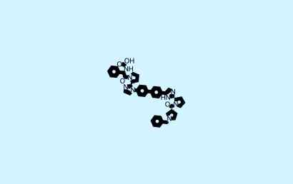 O=C(O)N[C@@H](C(=O)N1CCC[C@H]1c1nccn1-c1ccc(-c2ccc(-c3cnc([C@@H]4CCCN4C(=O)[C@@H]4CCN(Cc5ccccc5)C4)[nH]3)cc2)cc1)c1ccccc1